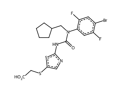 O=C(O)CSc1cnc(NC(=O)N(CC2CCCC2)c2cc(F)c(Br)cc2F)s1